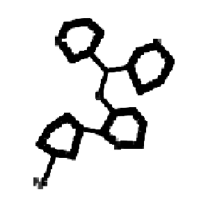 FC(F)(F)c1cccc(-c2ncccc2OC(c2cccnc2)c2cccnc2)c1